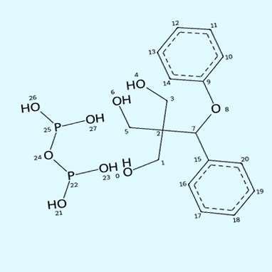 OCC(CO)(CO)C(Oc1ccccc1)c1ccccc1.OP(O)OP(O)O